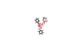 CCC(C)SC(=O)OCOP(=O)(OCc1ccccc1)OCc1ccccc1